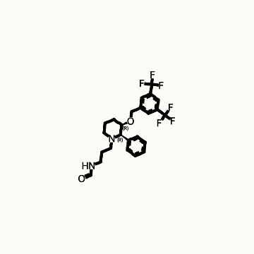 O=CNCCCN1CCC[C@@H](OCc2cc(C(F)(F)F)cc(C(F)(F)F)c2)[C@H]1c1ccccc1